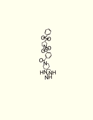 N=C1NCC2(CCN(C(=O)c3cccc(S(=O)(=O)N4CCC(S(=O)(=O)c5ccccc5)C4)c3)CC2)N1